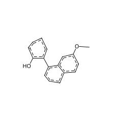 COc1ccc2cccc(-c3ccccc3O)c2c1